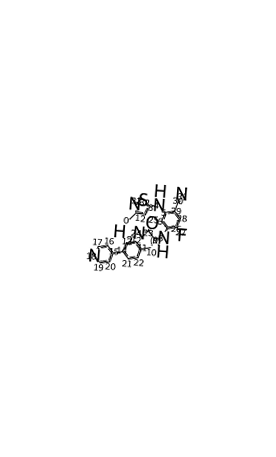 Cc1cc(Nc2cc(N[C@H](Cc3ccc(-c4ccncc4)cc3)C(N)=O)c(F)cc2C#N)sn1